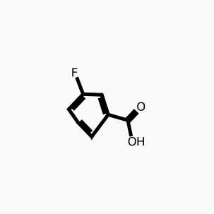 O=C(O)c1[c]ccc(F)c1